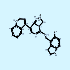 Fc1ccc2c(c1CNC1=NC=C(C3=CCOc4ccccc43)C3=NNCN13)CCO2